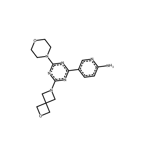 Nc1ccc(-c2nc(N3CCOCC3)nc(N3CC4(COC4)C3)n2)cn1